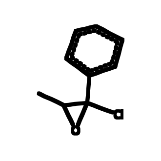 CC1OC1(Cl)c1ccccc1